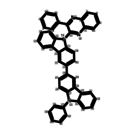 c1ccc(-c2nc3ccccc3nc2-n2c3ccccc3c3cc(-c4ccc5c(c4)c4ccccc4n5-c4ccccc4)ccc32)cc1